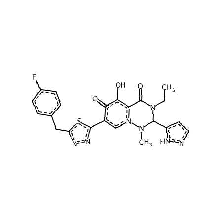 CCN1C(=O)c2c(O)c(=O)c(-c3nnc(Cc4ccc(F)cc4)s3)cn2N(C)C1c1ccn[nH]1